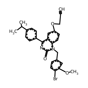 C#CCOc1ccc2c(c1)c(-c1ccc(C(C)C)cc1)nc(=O)n2Cc1ccc(Br)c(OC)c1